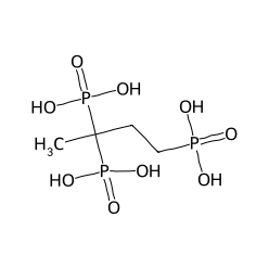 CC(CCP(=O)(O)O)(P(=O)(O)O)P(=O)(O)O